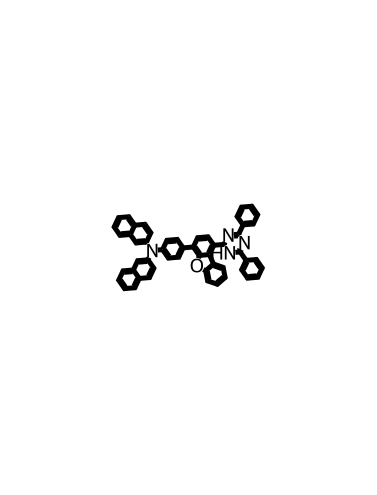 c1ccc(C2=NC(c3ccc(-c4ccc(N(c5ccc6ccccc6c5)c5ccc6ccccc6c5)cc4)c4oc5ccccc5c34)NC(c3ccccc3)=N2)cc1